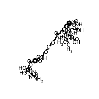 CCC(C)[C@H](NC(=O)[C@H](CCC(=O)O)NC(=O)[C@H](CCC(=O)O)NC(=O)[C@@H](CC(=O)CCC(=O)NCCCOCCOCCOCCCNS(=O)(=O)c1ccc(C(=O)OC[C@H]2O[C@@H](n3cnc4c(N)ncnc43)C(O)[C@H]2O)cc1)Cc1ccc(OP(=O)(O)O)cc1)C(=O)O